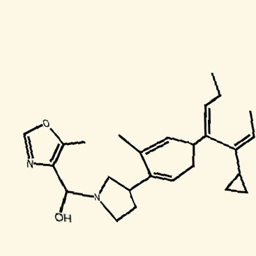 C/C=C(\C(=C/CC)C1C=C(C)C(C2CCN(C(O)c3ncoc3C)C2)=CC1)C1CC1